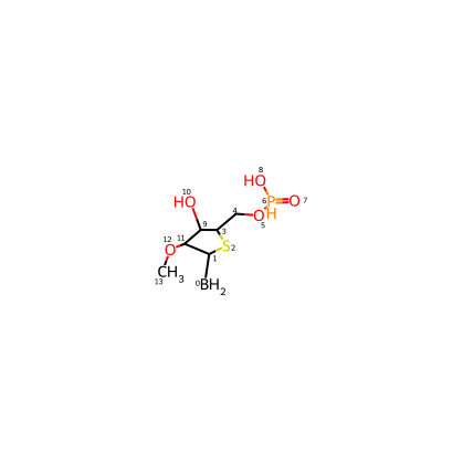 BC1SC(CO[PH](=O)O)C(O)C1OC